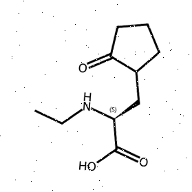 CCN[C@@H](CC1CCCC1=O)C(=O)O